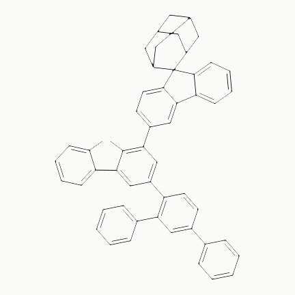 c1ccc(-c2ccc(-c3cc(-c4ccc5c(c4)-c4ccccc4C54C5CC6CC(C5)CC4C6)c4oc5ccccc5c4c3)c(-c3ccccc3)c2)cc1